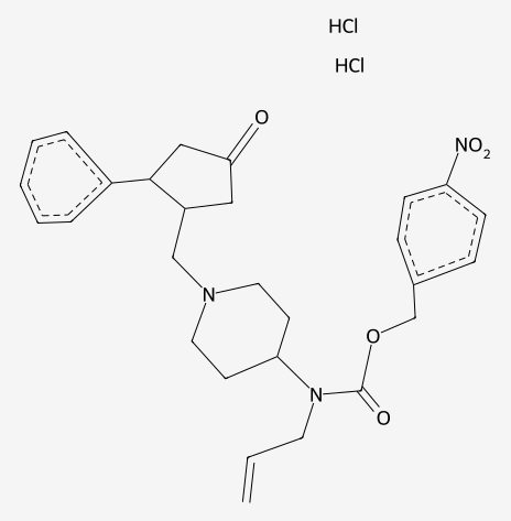 C=CCN(C(=O)OCc1ccc([N+](=O)[O-])cc1)C1CCN(CC2CC(=O)CC2c2ccccc2)CC1.Cl.Cl